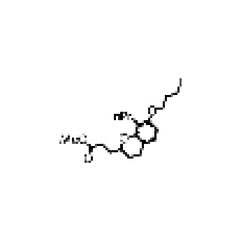 CCCc1c(OCCCI)ccc2c1OC(CCC(=O)OC)CC2